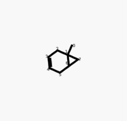 CC12CC=CCC1C2